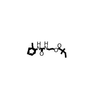 CCC(C)(C)C(=O)OCCNC(=O)Nc1ccccc1C